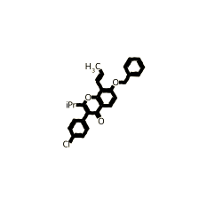 CC=Cc1c(OCc2ccccc2)ccc2c(=O)c(-c3ccc(Cl)cc3)c(C(C)C)oc12